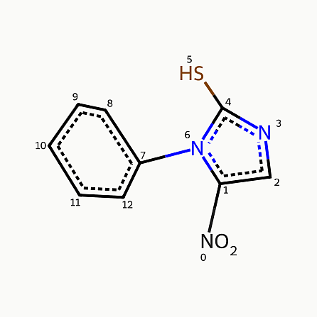 O=[N+]([O-])c1cnc(S)n1-c1ccccc1